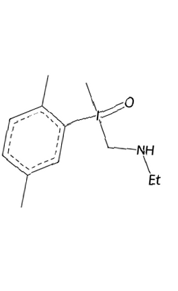 CCNCI(C)(=O)c1cc(C)ccc1C